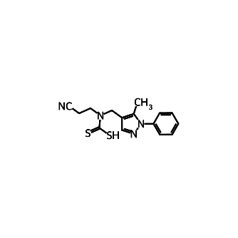 Cc1c(CN(CCC#N)C(=S)S)cnn1-c1ccccc1